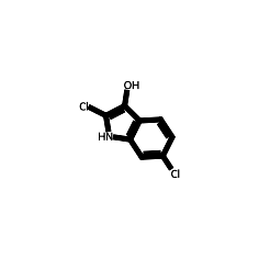 Oc1c(Cl)[nH]c2cc(Cl)ccc12